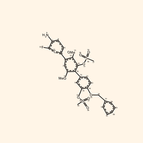 COc1cc(-c2ccc(N)c(F)c2)c(OC)c(OS(C)(=O)=O)c1-c1ccc(OCc2ccccc2)c(OS(C)(=O)=O)c1